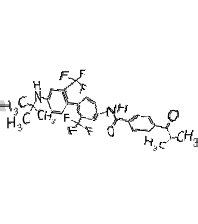 CC(C)C(=O)c1ccc(C(=O)Nc2ccc(-c3ccc(NC(C)(C)C)cc3C(F)(F)F)c(C(F)(F)F)c2)cc1